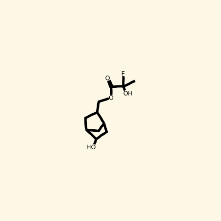 CC(O)(F)C(=O)OCC1CC2CC1CC2O